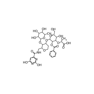 CC1OC(OC2C(CNC(=O)c3cc(O)nc(O)n3)OCCC2OC2OC(CO)C(O)C(O[C@@H](C)C(=O)O)C2OC(=O)c2ccccc2)C(O)C(O)C1O